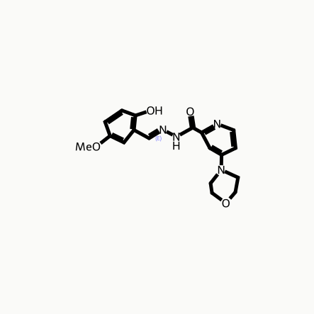 COc1ccc(O)c(/C=N/NC(=O)c2cc(N3CCOCC3)ccn2)c1